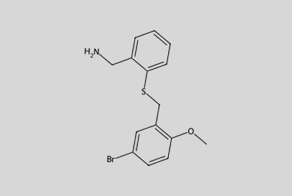 COc1ccc(Br)cc1CSc1ccccc1CN